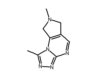 Cc1nnc2ncc3c(n12)CN(C)C3